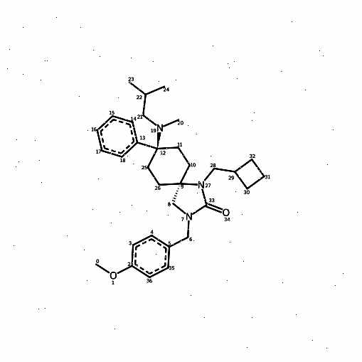 COc1ccc(CN2C[C@]3(CC[C@](c4ccccc4)(N(C)CC(C)C)CC3)N(CC3CCC3)C2=O)cc1